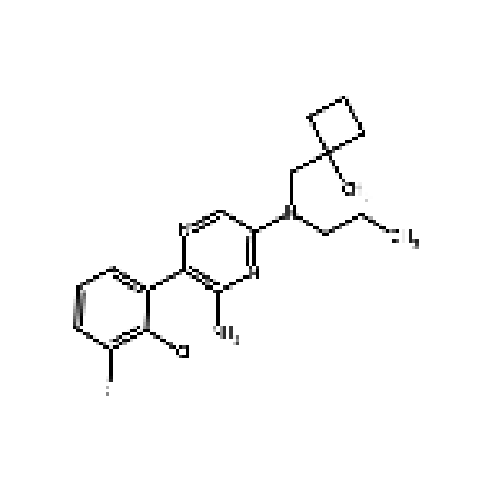 CCCN(CC1(C)CCC1)c1cnc(-c2cccc(Cl)c2Cl)c(N)n1